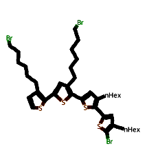 CCCCCCc1cc(-c2sc(-c3sc(-c4sccc4CCCCCCBr)cc3CCCCCCBr)cc2CCCCCC)sc1Br